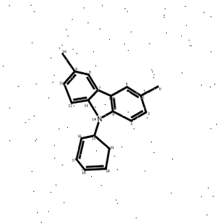 Cc1ccc2c(c1)c1cc(C)ccc1n2C1C=CC=CC1